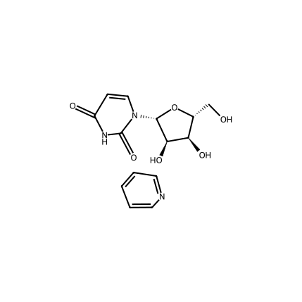 O=c1ccn([C@@H]2O[C@H](CO)[C@@H](O)[C@H]2O)c(=O)[nH]1.c1ccncc1